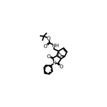 CC(C)(C)OC(=O)NCC12C=CC(O1)C1C(=O)N(c3ccccc3)C(=O)C12